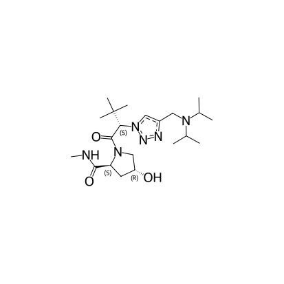 CNC(=O)[C@@H]1C[C@@H](O)CN1C(=O)[C@@H](n1cc(CN(C(C)C)C(C)C)nn1)C(C)(C)C